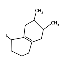 CC1CC2=C(CC1C)C(I)CCC2